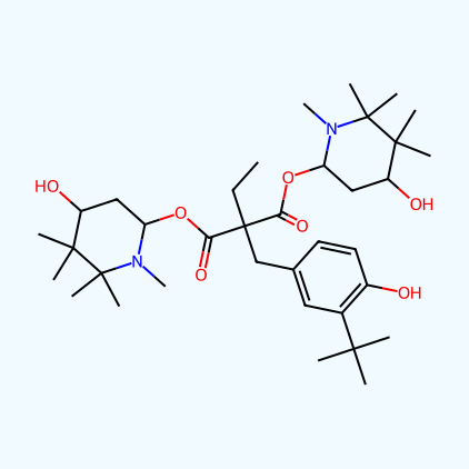 CCC(Cc1ccc(O)c(C(C)(C)C)c1)(C(=O)OC1CC(O)C(C)(C)C(C)(C)N1C)C(=O)OC1CC(O)C(C)(C)C(C)(C)N1C